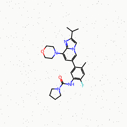 Cc1cc(F)c(NC(=O)N2CCCC2)cc1-c1cc(N2CCOCC2)c2nc(C(C)C)cn2c1